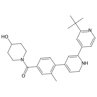 Cc1cc(C(=O)N2CCC(O)CC2)ccc1C1=CCNC(c2ccnc(C(C)(C)C)c2)=C1